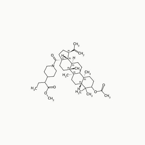 C=C(C)[C@@H]1CC[C@]2(C(=O)N3CCC(C(CC)C(=O)OC)CC3)CC[C@]3(C)[C@H](CCC4[C@@]5(C)CCC(OC(C)=O)C(C)(C)[C@@H]5CC[C@]43C)[C@@H]12